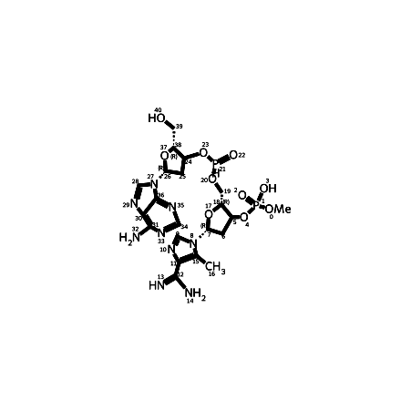 COP(=O)(O)OC1C[C@H](n2cnc(C(=N)N)c2C)O[C@@H]1CO[PH](=O)OC1C[C@H](n2cnc3c(N)ncnc32)O[C@@H]1CO